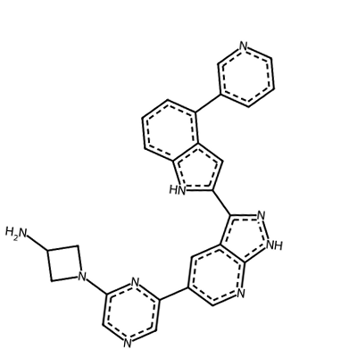 NC1CN(c2cncc(-c3cnc4[nH]nc(-c5cc6c(-c7cccnc7)cccc6[nH]5)c4c3)n2)C1